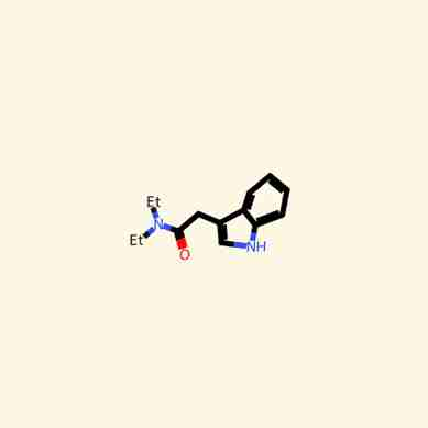 CCN(CC)C(=O)Cc1c[nH]c2ccccc12